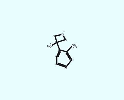 Nc1ccccc1C1(O)COC1